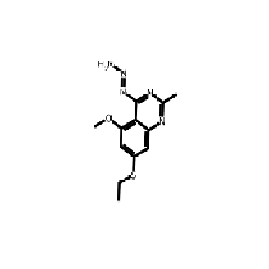 CCSc1cc(OC)c2c(N=NN)nc(C)nc2c1